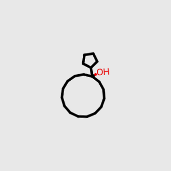 OC1(C2CCCC2)CCCCCCCCCCCCCC1